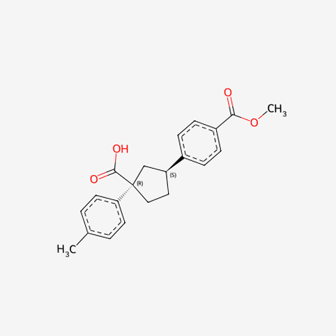 COC(=O)c1ccc([C@H]2CC[C@](C(=O)O)(c3ccc(C)cc3)C2)cc1